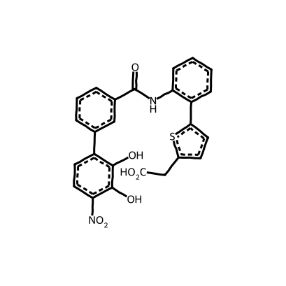 O=C(O)Cc1ccc(-c2ccccc2NC(=O)c2cccc(-c3ccc([N+](=O)[O-])c(O)c3O)c2)s1